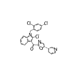 O=C(c1ncc(-c2cccnc2)o1)c1c(Cl)n(Cc2ccc(Cl)cc2Cl)c2ccccc12